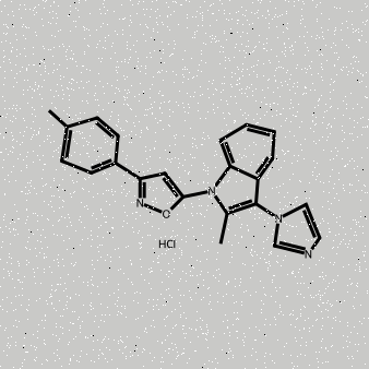 Cc1ccc(-c2cc(-n3c(C)c(-n4ccnc4)c4ccccc43)on2)cc1.Cl